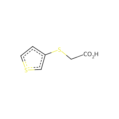 O=C(O)CSc1ccsc1